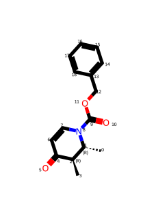 C[C@@H]1[C@@H](C)C(=O)C=CN1C(=O)OCc1ccccc1